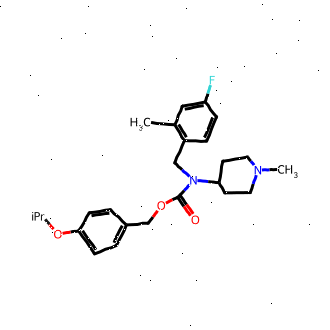 Cc1cc(F)ccc1CN(C(=O)OCc1ccc(OC(C)C)cc1)C1CCN(C)CC1